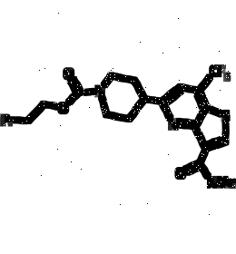 CNC(=O)c1csc2c(C(F)(F)F)cc(C3CCN(C(=O)OCCC(C)C)CC3)nc12